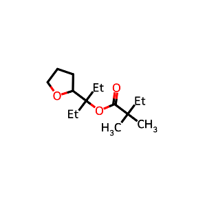 CCC(C)(C)C(=O)OC(CC)(CC)C1CCCO1